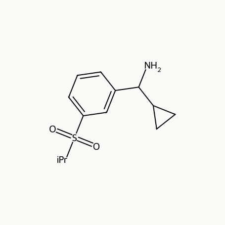 CC(C)S(=O)(=O)c1cccc(C(N)C2CC2)c1